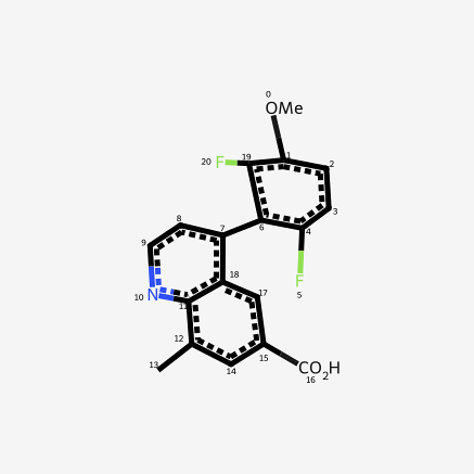 COc1ccc(F)c(-c2ccnc3c(C)cc(C(=O)O)cc23)c1F